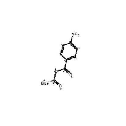 CC[C@@H](C)C(=O)OC(=O)c1ccc([N+](=O)[O-])cc1